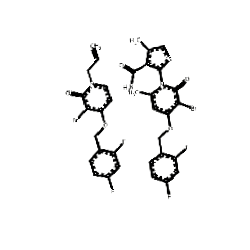 C=CCn1[c]cc(OCc2ccc(F)cc2F)c(Br)c1=O.Cc1csc(-n2c(C)cc(OCc3ccc(F)cc3F)c(Br)c2=O)c1C(N)=O